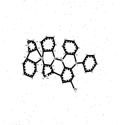 CC(C)c1cc2c3c(c1)N(c1ccccc1)c1ccccc1B3N1c3ccccc3[Si]3(c4ccccc4-c4ccccc43)c3cccc-2c31